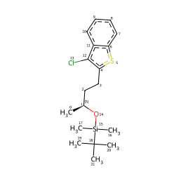 C[C@@H](CCc1sc2ccccc2c1Cl)O[Si](C)(C)C(C)(C)C